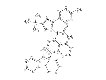 Cc1ccc(-n2nc(C(C)(C)C)cc2N(C(N)=O)c2ccc(C3(N(C)c4cccnc4)C=CCCC3)c3ccccc23)cn1